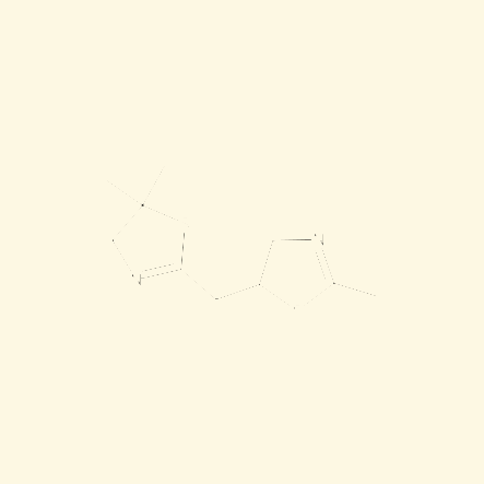 CC1=NCC(CC2=NCC(C)(C)S2)S1